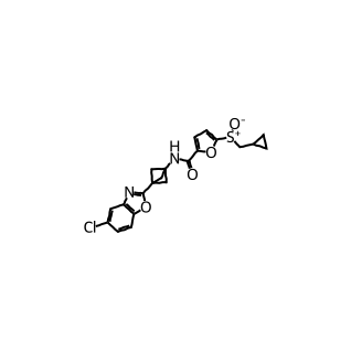 O=C(NC12CC(c3nc4cc(Cl)ccc4o3)(C1)C2)c1ccc([S+]([O-])CC2CC2)o1